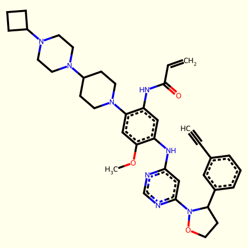 C#Cc1cccc(C2CCON2c2cc(Nc3cc(NC(=O)C=C)c(N4CCC(N5CCN(C6CCC6)CC5)CC4)cc3OC)ncn2)c1